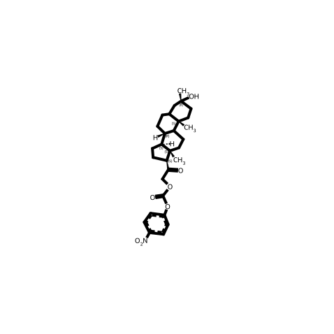 C[C@@]1(O)CC[C@@]2(C)C(CC[C@@H]3C2CC[C@]2(C)[C@@H](C(=O)COC(=O)Oc4ccc([N+](=O)[O-])cc4)CC[C@@H]32)C1